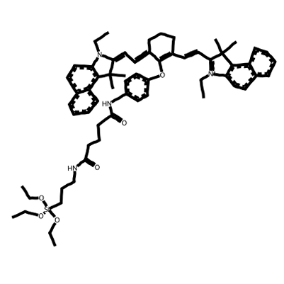 CCO[Si](CCCNC(=O)CCCC(=O)Nc1ccc(OC2=C(/C=C/C3=[N+](CC)c4ccc5ccccc5c4C3(C)C)CCC/C2=C\C=C2\N(CC)c3ccc4ccccc4c3C2(C)C)cc1)(OCC)OCC